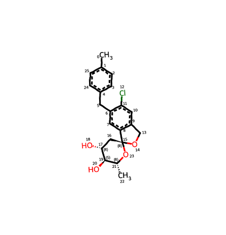 Cc1ccc(Cc2cc3c(cc2Cl)CO[C@@]32C[C@@H](O)[C@H](O)[C@@H](C)O2)cc1